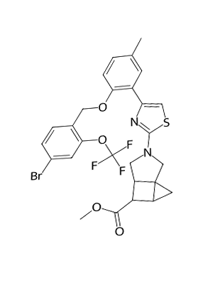 COC(=O)C1C2CN(c3nc(-c4cc(C)ccc4OCc4ccc(Br)cc4OC(F)(F)F)cs3)CC23CC13